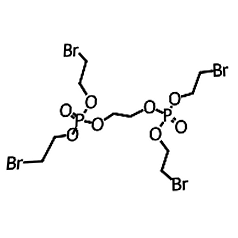 O=P(OCCBr)(OCCBr)OCCOP(=O)(OCCBr)OCCBr